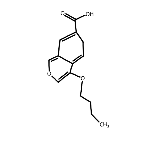 CCCCOC1=COC=C2C=C(C(=O)O)CC=C21